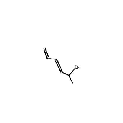 C=C/C=C/C(C)O